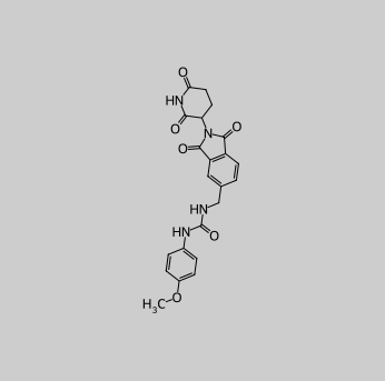 COc1ccc(NC(=O)NCc2ccc3c(c2)C(=O)N(C2CCC(=O)NC2=O)C3=O)cc1